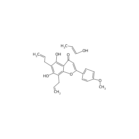 C=CCc1c(O)c(CC=C)c2oc(-c3ccc(OC)cc3)cc(=O)c2c1O.CC=CO